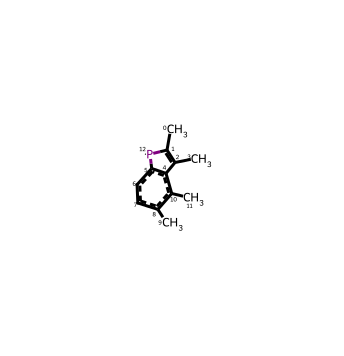 CC1=C(C)c2c(ccc(C)c2C)[P]1